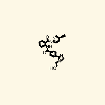 C#Cc1ccc(NC(=O)c2ccccc2NC(=O)c2ccc(C3=NCCN3CCO)cc2)nc1